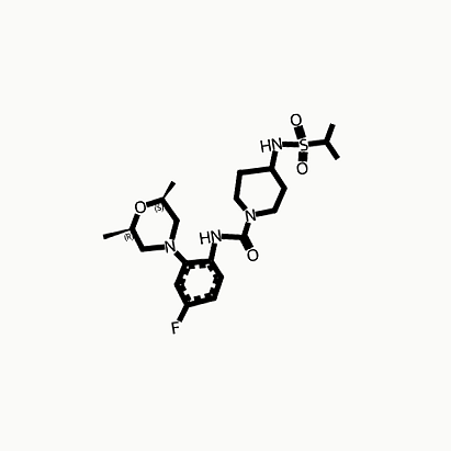 CC(C)S(=O)(=O)NC1CCN(C(=O)Nc2ccc(F)cc2N2C[C@@H](C)O[C@@H](C)C2)CC1